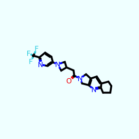 O=C(CC1CN(c2ccc(C(F)(F)F)nc2)C1)N1Cc2cc3c(nc2C1)CCCC3